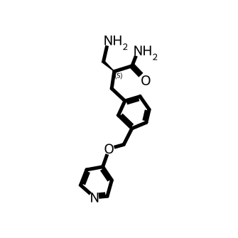 NC[C@H](Cc1cccc(COc2ccncc2)c1)C(N)=O